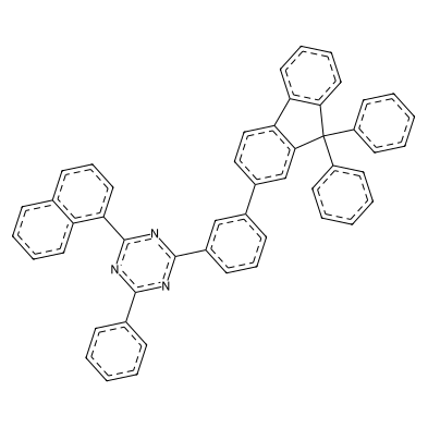 c1ccc(-c2nc(-c3cccc(-c4ccc5c(c4)C(c4ccccc4)(c4ccccc4)c4ccccc4-5)c3)nc(-c3cccc4ccccc34)n2)cc1